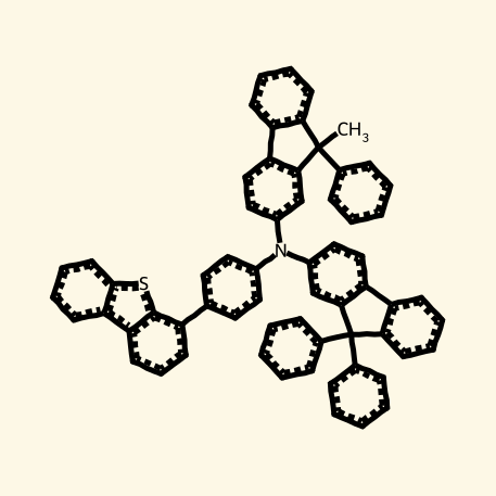 CC1(c2ccccc2)c2ccccc2-c2ccc(N(c3ccc(-c4cccc5c4sc4ccccc45)cc3)c3ccc4c(c3)C(c3ccccc3)(c3ccccc3)c3ccccc3-4)cc21